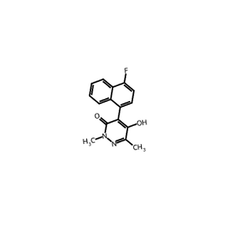 Cc1nn(C)c(=O)c(-c2ccc(F)c3ccccc23)c1O